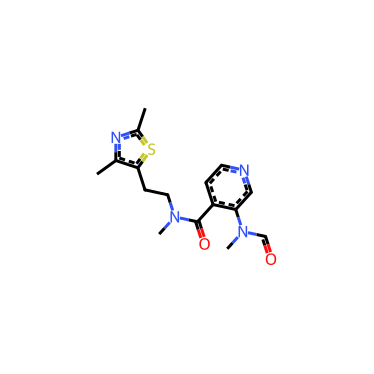 Cc1nc(C)c(CCN(C)C(=O)c2ccncc2N(C)C=O)s1